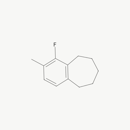 Cc1ccc2c(c1F)CCCCC2